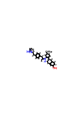 COc1ccc(C2CCc3cc(O)ccc3C2)c(NC(C)Cc2ccc(CCNC(C)(C)C)cc2)c1